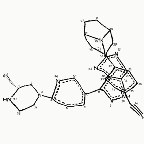 C[C@@H]1CN(c2ccc(-c3n[nH]c4cnc(N5C6CCC5CN(c5ccc(C#N)cc5)C6)nc34)cn2)CCN1